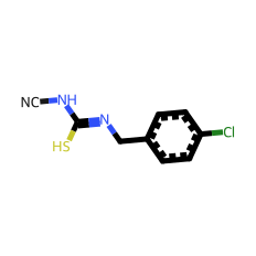 N#CNC(S)=NCc1ccc(Cl)cc1